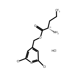 Cl.N[C@@H](CCC(F)(F)F)C(=O)OCc1cc(Cl)nc(Cl)c1